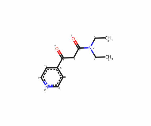 CCN(CC)C(=O)CC(=O)c1ccncc1